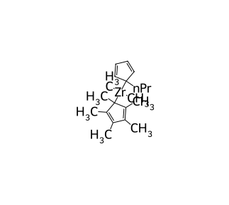 CCC[C]1([Zr]([CH3])([CH3])[C]2(C)C(C)=C(C)C(C)=C2C)C=CC=C1